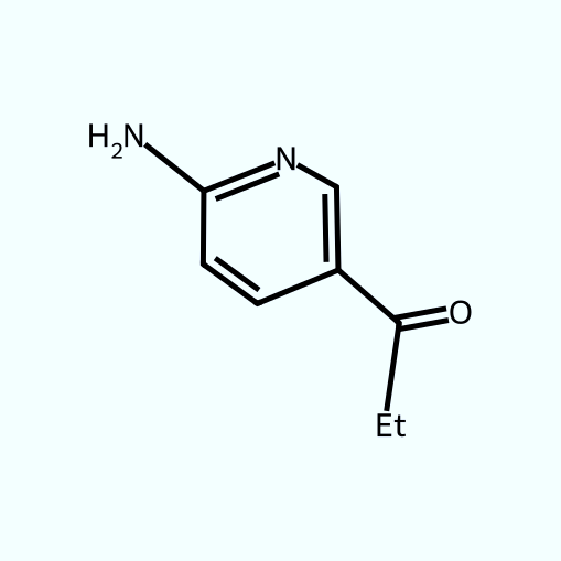 CCC(=O)c1ccc(N)nc1